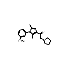 COc1cccc(-n2c(C)cc(C(=O)CN3CCCC3)c2C)c1